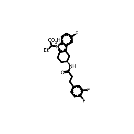 CCC(C(=O)O)n1c2c(c3cc(F)ccc31)C[C@@H](NC(=O)CCc1ccc(F)c(F)c1)CC2